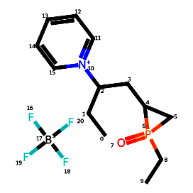 CCC(CC1CP1(=O)CC)[n+]1ccccc1.F[B-](F)(F)F